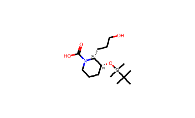 CC(C)(C)[Si](C)(C)O[C@@H]1CCCN(C(=O)O)[C@@H]1CCCO